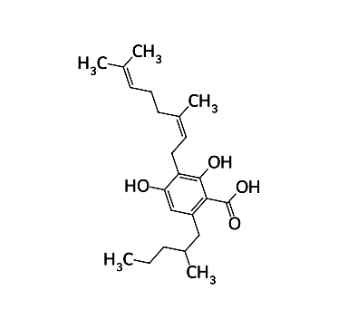 CCCC(C)Cc1cc(O)c(CC=C(C)CCC=C(C)C)c(O)c1C(=O)O